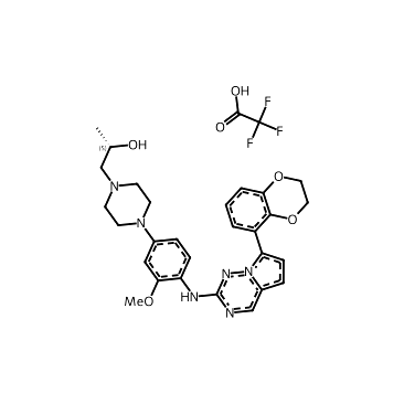 COc1cc(N2CCN(C[C@H](C)O)CC2)ccc1Nc1ncc2ccc(-c3cccc4c3OCCO4)n2n1.O=C(O)C(F)(F)F